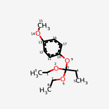 CCOC(CC)(OCC)Oc1ccc(OC)cc1